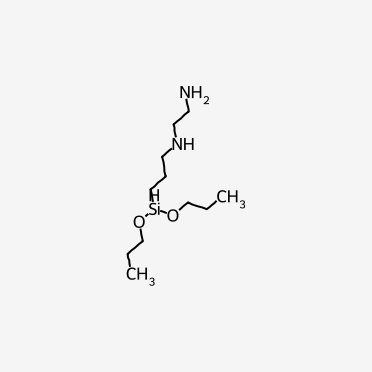 CCCO[SiH](CCCNCCN)OCCC